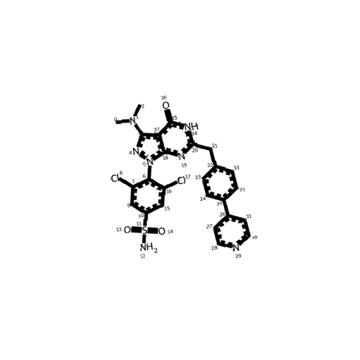 CN(C)c1nn(-c2c(Cl)cc(S(N)(=O)=O)cc2Cl)c2nc(Cc3ccc(-c4ccncc4)cc3)[nH]c(=O)c12